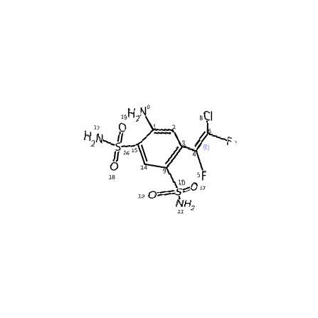 Nc1cc(/C(F)=C(/F)Cl)c(S(N)(=O)=O)cc1S(N)(=O)=O